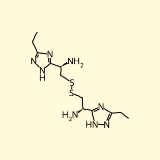 CCc1n[nH]c([C@@H](N)CSSC[C@H](N)c2nc(CC)n[nH]2)n1